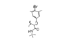 CSC(Oc1cc(C)c(Br)c(C)c1)C(=O)NC(C)(C)C